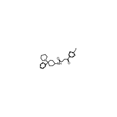 O=C(CCC(=O)c1ccc(F)cc1)NC1CCC(c2ccccc2)(N2CCCCC2)CC1